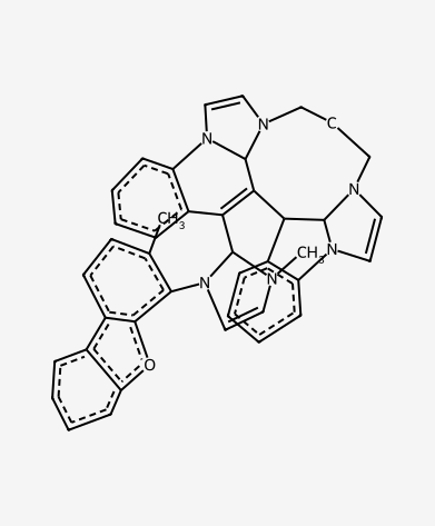 Cc1ccc2c(oc3ccccc32)c1N1C=CN(C)C1C1=C2C3c4ccccc4N4C=CN(CCCN5C=CN(c6ccccc61)C25)C34